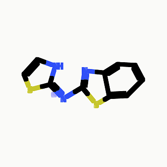 c1ccc2sc(/N=c3\[nH]ccs3)nc2c1